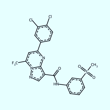 CS(=O)(=O)c1cccc(NC(=O)c2cnn3c(C(F)(F)F)cc(-c4ccc(Cl)c(Cl)c4)nc23)c1